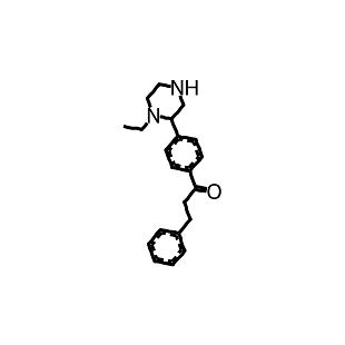 CCN1CCNCC1c1ccc(C(=O)CCc2ccccc2)cc1